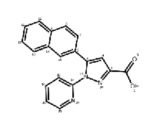 O=C(O)c1cc(-c2ccc3ccccc3c2)n(-c2ccccn2)n1